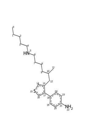 CCCCCNCCCCC(C)Cc1cscc1-c1ccc(N)cc1